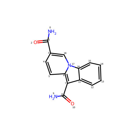 NC(=O)c1ccc2c(C(N)=O)c3ccccc3n2c1